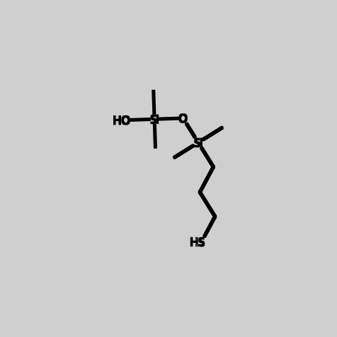 C[Si](C)(O)O[Si](C)(C)CCCS